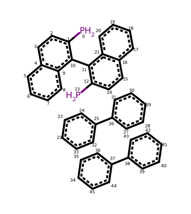 Pc1ccc2ccccc2c1-c1c(P)ccc2ccccc12.c1ccc(-c2ccccc2)cc1.c1ccc(-c2ccccc2)cc1